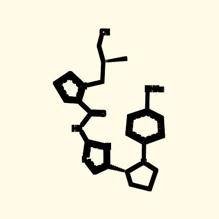 CC(=O)Nc1ccc(N2CCC[C@@H]2c2csc(NC(=O)c3cccn3C[C@@H](C)CC#N)n2)cc1